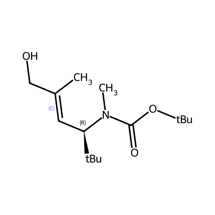 C/C(=C\[C@@H](N(C)C(=O)OC(C)(C)C)C(C)(C)C)CO